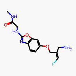 CNC(=O)CNc1nc2ccc(OC/C(=C\F)CN)cc2o1